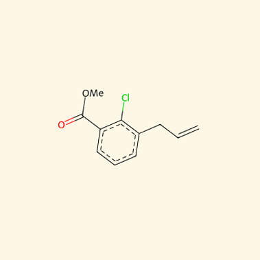 C=CCc1cccc(C(=O)OC)c1Cl